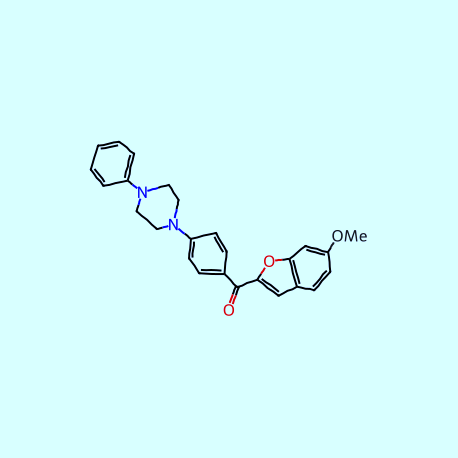 COc1ccc2cc(C(=O)c3ccc(N4CCN(c5ccccc5)CC4)cc3)oc2c1